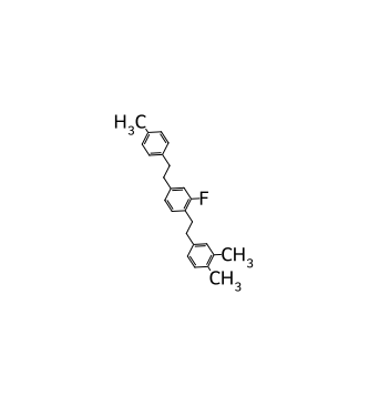 Cc1ccc(CCc2ccc(CCc3ccc(C)c(C)c3)c(F)c2)cc1